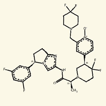 C[C@@H](C(=O)Nc1cn2c(n1)CC[C@@H]2c1cc(F)cc(F)c1)N1CCC(F)(F)[C@H](c2cc[n+]([O-])c(CN3CCC(F)(F)CC3)c2)C1